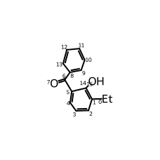 CCc1cccc(C(=O)c2ccccc2)c1O